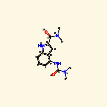 CN(C)C(=O)Nc1cccc2[nH]c(C(=O)N(C)C)cc12